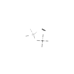 C=O.CC(C)(C)OC(C)(C)C